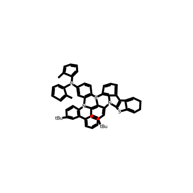 Cc1ccccc1N(c1ccc2c(c1)N(c1ccc(C(C)(C)C)cc1-c1ccccc1)c1cc(C(C)(C)C)cc3c1B2c1cccc2c4c5c(sc4n-3c12)=CCCC=5)c1ccccc1C